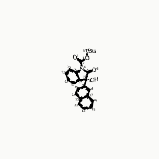 CC(C)(C)OC(=O)N1C(=O)[C@@](O)(c2ccc3ccccc3c2)c2ccccc21